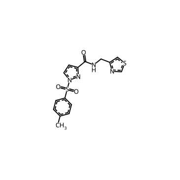 Cc1ccc(S(=O)(=O)n2ccc(C(=O)NCc3cscn3)n2)cc1